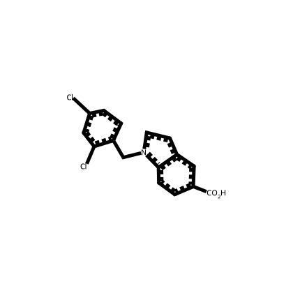 O=C(O)c1ccc2c(ccn2Cc2ccc(Cl)cc2Cl)c1